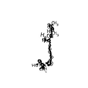 CCc1cnn2c(NCc3ccc(=O)n(CCOCCOCCOCCOCCCc4cc(-c5cnc([C@H](C)Nc6nccc(N7C(=O)OC[C@@H]7[C@H](C)F)n6)cc5C)cc(C(F)(F)F)n4)c3)cc(N3CCCC[C@H]3CCO)nc12